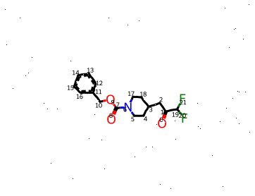 O=C(CC1CCN(C(=O)OCc2ccccc2)CC1)C(F)F